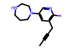 CC#CCc1cc(N2CCCNCC2)cnc1I